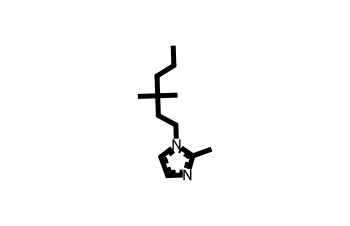 CCCC(C)(C)CCn1ccnc1C